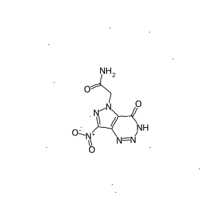 NC(=O)Cn1nc([N+](=O)[O-])c2nn[nH]c(=O)c21